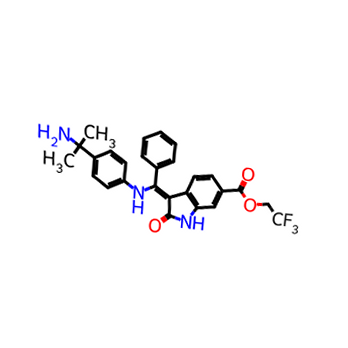 CC(C)(N)c1ccc(N/C(=C2\C(=O)Nc3cc(C(=O)OCC(F)(F)F)ccc32)c2ccccc2)cc1